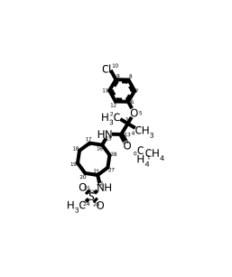 C.C.CC(C)(Oc1ccc(Cl)cc1)C(=O)NC1[CH]CCCC(NS(C)(=O)=O)CC1